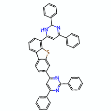 C1=C(c2cccc3c2sc2cc(-c4cc(-c5ccccc5)nc(-c5ccccc5)n4)ccc23)NC(c2ccccc2)N=C1c1ccccc1